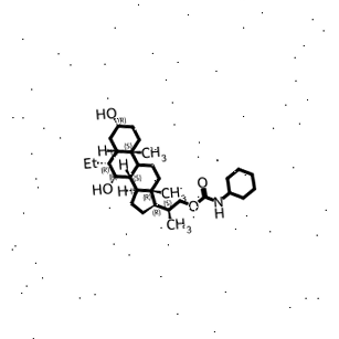 CC[C@H]1[C@@H](O)[C@@H]2C(CC[C@]3(C)[C@@H]([C@H](C)COC(=O)NC4CCCCC4)CC[C@@H]23)[C@@]2(C)CC[C@@H](O)C[C@@H]12